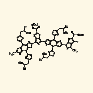 CCCCCCCCCC(=O)c1sc2c(-c3cc4c(-c5ccc(CC(CC)CCCC)s5)c5sc(-c6sc(-c7cc8c(-c9ccc(CC(CC)CCCC)s9)c9sc(C)cc9c(-c9ccc(CC(CC)CCCC)s9)c8s7)c7sc(C(=O)OCCCCCCCC)cc67)cc5c(-c5ccc(CC(CC)CCCC)s5)c4s3)sc(C)c2c1F